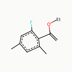 C=C(OCC)c1c(C)cc(C)cc1F